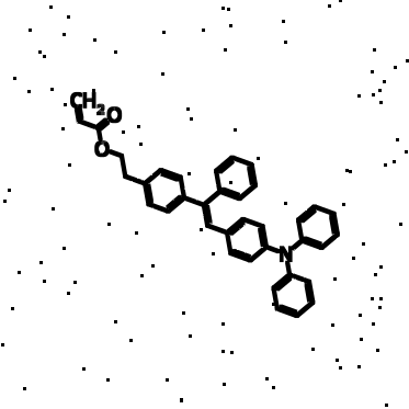 C=CC(=O)OCCc1ccc(C(=Cc2ccc(N(c3ccccc3)c3ccccc3)cc2)c2ccccc2)cc1